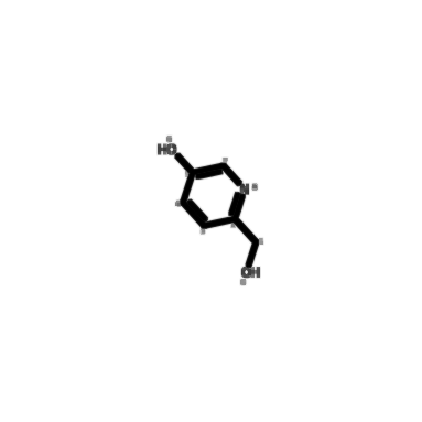 OCc1ccc(O)cn1